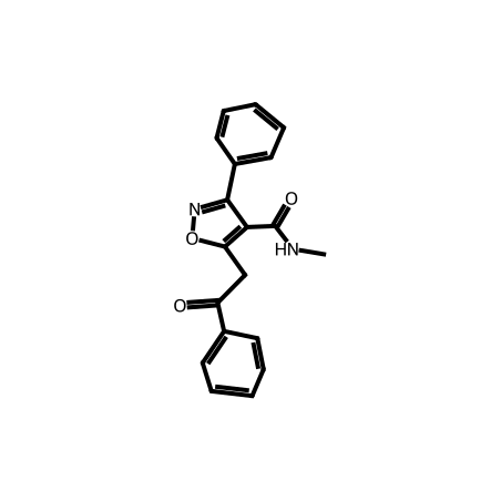 CNC(=O)c1c(-c2ccccc2)noc1CC(=O)c1ccccc1